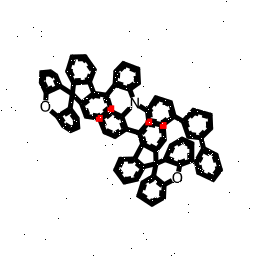 c1ccc(-c2cccc(-c3ccc(N(c4ccccc4-c4cccc5c4-c4ccccc4C54c5ccccc5Oc5ccccc54)c4ccccc4-c4cccc5c4-c4ccccc4C54c5ccccc5Oc5ccccc54)cc3)c2)cc1